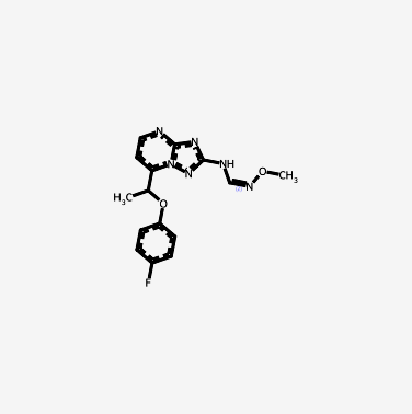 CO/N=C\Nc1nc2nccc(C(C)Oc3ccc(F)cc3)n2n1